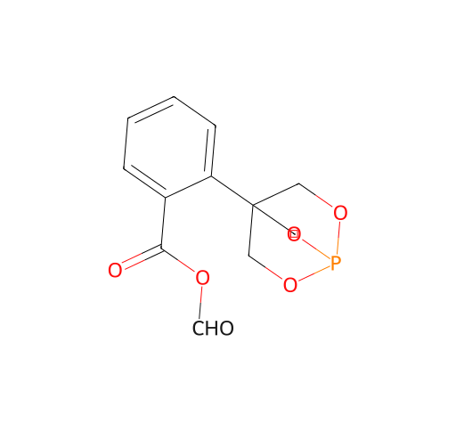 O=COC(=O)c1ccccc1C12COP(OC1)OC2